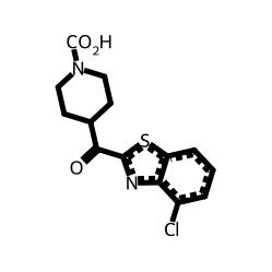 O=C(c1nc2c(Cl)cccc2s1)C1CCN(C(=O)O)CC1